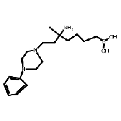 CC(N)(CCCCB(O)O)CCN1CCN(c2ccccc2)CC1